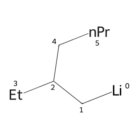 [Li][CH2]C(CC)CCCC